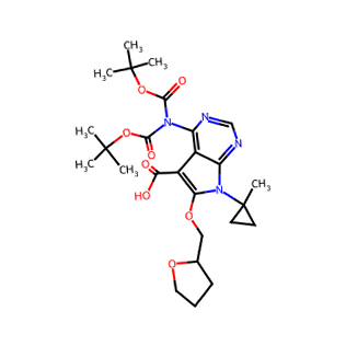 CC(C)(C)OC(=O)N(C(=O)OC(C)(C)C)c1ncnc2c1c(C(=O)O)c(OCC1CCCO1)n2C1(C)CC1